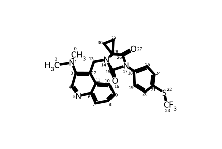 CN(C)c1cnc2ccccc2c1CN1C(=O)N(c2ccc(SC(F)(F)F)cc2)C(=O)C12CC2